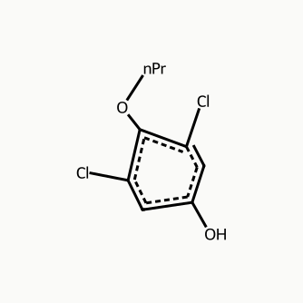 [CH2]CCOc1c(Cl)cc(O)cc1Cl